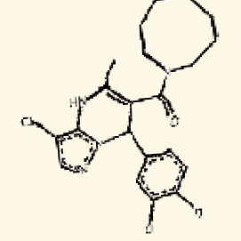 CC1=C(C(=O)N2CCCCCCC2)C(c2ccc(Cl)c(Cl)c2)n2ncc(Cl)c2N1